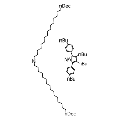 CCCCC1=C(c2ccc(CCCC)cc2)[N+](=[N-])C(c2ccc(CCCC)cc2)=C1CCCC.CCCCCCCCCCCCCCCCCCCCCCCCC[CH2][Ni][CH2]CCCCCCCCCCCCCCCCCCCCCCCCC